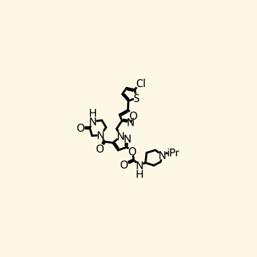 CC(C)N1CCC(NC(=O)Oc2cc(C(=O)N3CCNC(=O)C3)n(Cc3cc(-c4ccc(Cl)s4)on3)n2)CC1